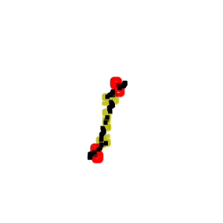 C=CC(=O)OCC1CSC(CCCSCCSCCCC2SCC(COC(=O)C=C)S2)S1